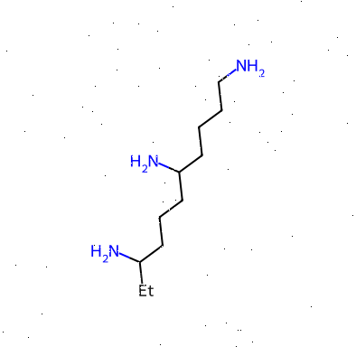 CCC(N)CCCC(N)CCCCN